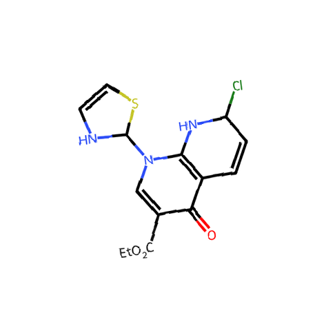 CCOC(=O)c1cn(C2NC=CS2)c2c(c1=O)C=CC(Cl)N2